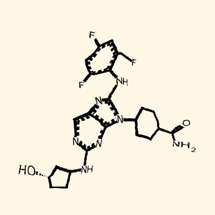 NC(=O)C1CCC(n2c(Nc3c(F)cc(F)cc3F)nc3cnc(NC4CC[C@H](O)C4)nc32)CC1